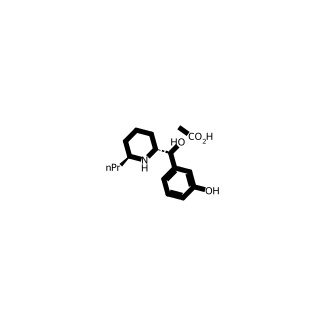 CC(=O)O.CCC[C@H]1CCC[C@H](C(O)c2cccc(O)c2)N1